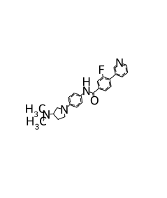 CN(C)C1CCN(c2ccc(NC(=O)c3ccc(-c4cccnc4)c(F)c3)cc2)C1